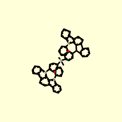 C[Si](C)(c1ccc(C2c3ccccc3-c3ccc4c5ccccc5n(-c5ccccc5)c4c32)cc1)c1ccc(-n2c3ccccc3c3ccc4c5ccccc5n(-c5ccccc5)c4c32)cc1